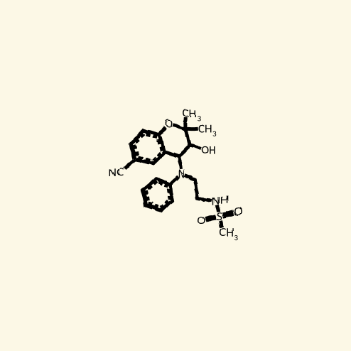 CC1(C)Oc2ccc(C#N)cc2C(N(CCNS(C)(=O)=O)c2ccccc2)C1O